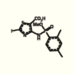 COP(=O)(Nc1nc(I)sc1C(=O)O)c1ccc(C)cc1C